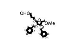 COCC1OC(OCCCC=O)C(OCc2ccccc2)C1OCc1ccccc1